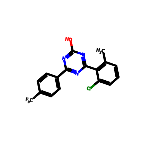 Cc1cccc(Cl)c1-c1nc(O)nc(-c2ccc(C(F)(F)F)cc2)n1